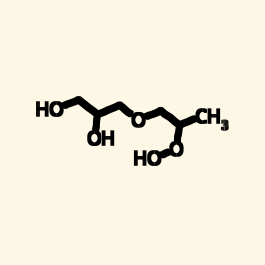 CC(COCC(O)CO)OO